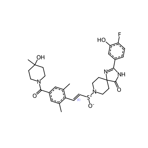 Cc1cc(C(=O)N2CCC(C)(O)CC2)cc(C)c1/C=C/[S+]([O-])N1CCC2(CC1)N=C(c1ccc(F)c(O)c1)NC2=O